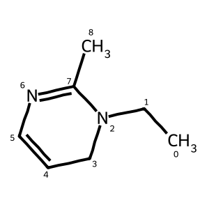 CCN1CC=CN=C1C